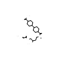 C=CC(=O)OCC(C)CCN(C)C(=O)C1CCC(C2CCC(C(=O)O)CC2)CC1